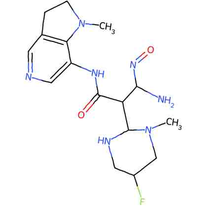 CN1CCc2cncc(NC(=O)C(C(N)N=O)C3NCC(F)CN3C)c21